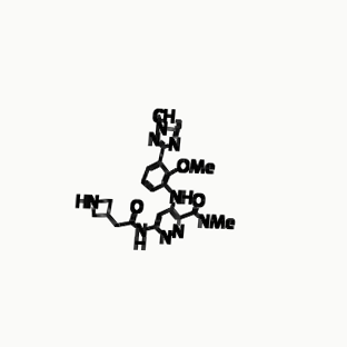 CNC(=O)c1nnc(NC(=O)CC2CNC2)cc1Nc1cccc(-c2ncn(C)n2)c1OC